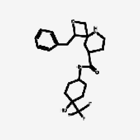 O=C(NC1CCC(O)(C(F)(F)F)CC1)C1CCNC2(COC2Cc2ccccc2)C1